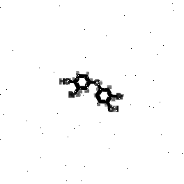 Oc1ccc(Oc2ccc(O)c(Br)c2)cc1Br